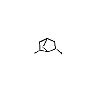 C[C@@H]1CC2C[C@H](C)C1S2